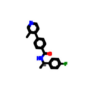 Cc1cnccc1-c1ccc(C(=O)N[C@H](C)c2ccc(F)cc2)cc1